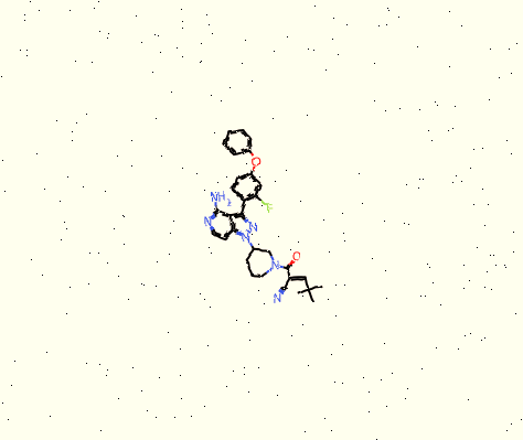 CC(C)(C)C=C(C#N)C(=O)N1CCCC(n2nc(-c3ccc(Oc4ccccc4)cc3F)c3c(N)nccc32)C1